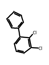 Clc1[c]ccc(-c2cc[c]cc2)c1Cl